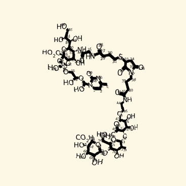 Cc1ccn(C(O)OC(O)COP(=O)(O)O[C@@]2(C(=O)O)C[C@@H](O)[C@@H](NC(=O)CNC(=O)CCCSC3CC(=O)N(CCCC(=O)NCCO[C@@H]4OC(C(=O)O)[C@@H](O[C@H]5OC(CO)[C@@H](O[C@@H]6OC(C(=O)O)[C@@H](O)C(O)[C@@H]6O)[C@H](O)C5C)C(O)[C@@H]4O)C3=O)C([C@H](O)[C@H](O)CO)O2)c(=O)n1